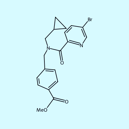 COC(=O)c1ccc(CN(CC2CC2)C(=O)c2ccc(Br)cn2)cc1